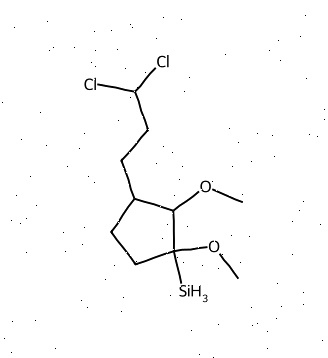 COC1C(CCC(Cl)Cl)CCC1([SiH3])OC